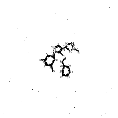 Cc1cc(C)cc(-n2ncc(-c3nnn(C)n3)c2SCc2ccccc2)c1